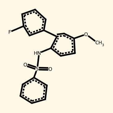 COc1ccc(NS(=O)(=O)c2ccccc2)c(-c2cccc(F)c2)c1